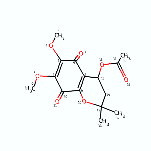 COC1=C(OC)C(=O)C2=C(OC(C)(C)CC2OC(C)=O)C1=O